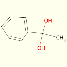 CC(O)(O)c1[c]cccc1